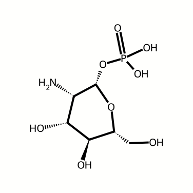 N[C@@H]1[C@H](OP(=O)(O)O)O[C@H](CO)[C@@H](O)[C@@H]1O